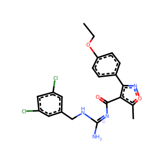 CCOc1ccc(-c2noc(C)c2C(=O)/N=C(/N)NCc2cc(Cl)cc(Cl)c2)cc1